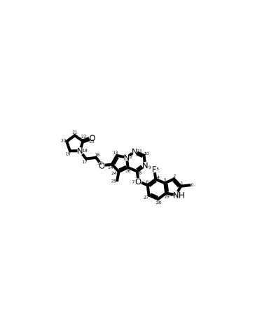 Cc1cc2c(F)c(Oc3ncnn4cc(OCCN5CCCC5=O)c(C)c34)ccc2[nH]1